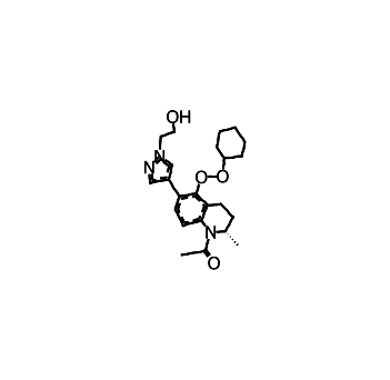 CC(=O)N1c2ccc(-c3cnn(CCO)c3)c(OOC3CCCCC3)c2CC[C@@H]1C